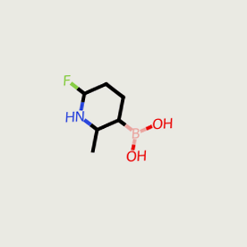 CC1NC(F)CCC1B(O)O